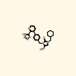 CCCc1cn(CC2CCCCC2)c(=O)n1Cc1ccc(-c2cccnc2-c2nnn[nH]2)cc1